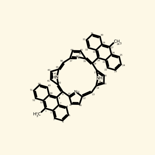 Cc1c2ccccc2c(-c2c3nc(cc4ccc([nH]4)c(-c4c5ccccc5c(C)c5ccccc45)c4nc(cc5ccc2[nH]5)C=C4)C=C3)c2ccccc12